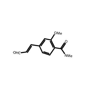 CNC(=O)c1ccc(/C=C/[C]=O)cc1OC